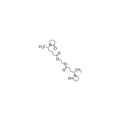 CC(CCCC(=O)OCCOC(=O)CCC(C)N1CCCC1=O)N1CCCC1=O